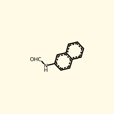 O=CNc1ccc2ccccc2c1